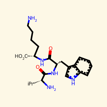 CC(C)[C@@H](N)C(=O)N[C@@H](Cc1c[nH]c2ccccc12)C(=O)N[C@@H](CCCCN)C(=O)O